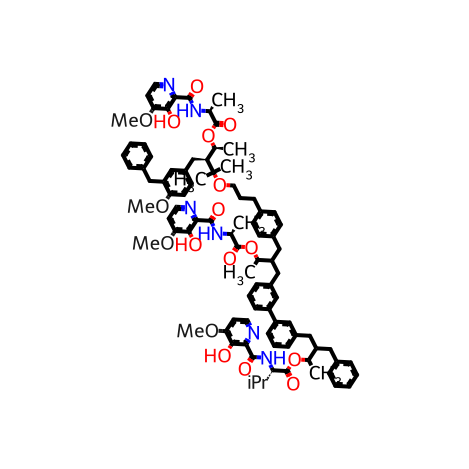 COc1ccc(C[C@@H]([C@H](C)OC(=O)[C@H](C)NC(=O)c2nccc(OC)c2O)C(C)(C)OCCCc2ccc(CC(Cc3cccc(-c4cccc(CC(Cc5ccccc5)C(C)OC(=O)[C@@H](NC(=O)c5nccc(OC)c5O)C(C)C)c4)c3)C(C)OC(=O)[C@H](C)NC(=O)c3nccc(OC)c3O)cc2)cc1Cc1ccccc1